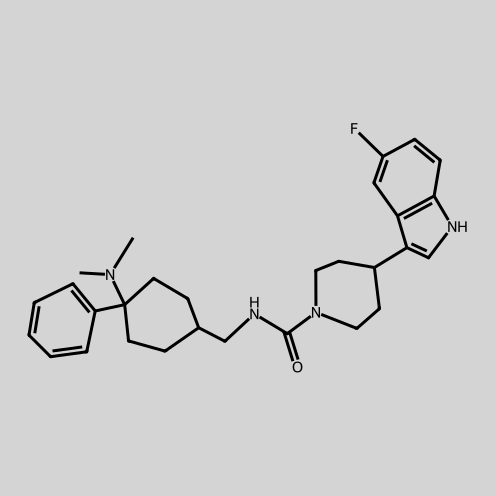 CN(C)C1(c2ccccc2)CCC(CNC(=O)N2CCC(c3c[nH]c4ccc(F)cc34)CC2)CC1